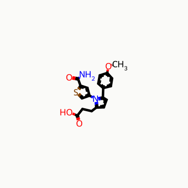 COc1ccc(-c2ccc(CCC(=O)O)n2-c2csc(C(N)=O)c2)cc1